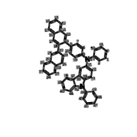 c1ccc(N(c2ccc(-c3cc4ccccc4cc3-c3ccc4ccccc4c3)cc2)c2ccc3c(c2)c2ccccc2n3-c2ccccc2)cc1